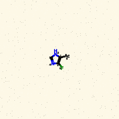 CC(=O)c1[nH]cnc1F